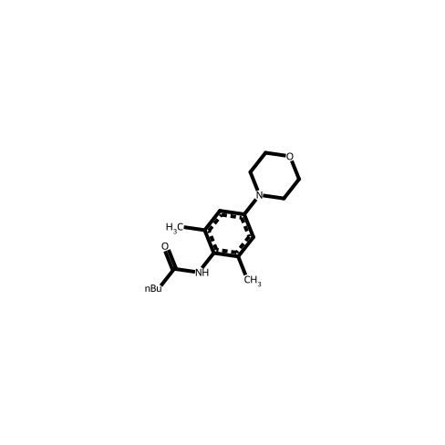 CCCCC(=O)Nc1c(C)cc(N2CCOCC2)cc1C